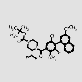 COc1cc(-c2c(Cl)cc(C(=O)N3CCN(C(=O)OC(C)(C)C)C[C@H]3C(F)F)c(N)c2F)c2ccccc2c1